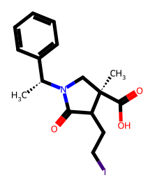 C[C@H](c1ccccc1)N1C[C@@](C)(C(=O)O)C(CCI)C1=O